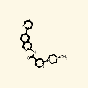 CN1CCN(c2cc(C(=O)Nc3cc4cc(-c5ccccn5)ccc4cn3)ccn2)CC1